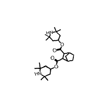 CC1(C)CC(OC(=O)C2C3CCC(C3)C2C(=O)OC2CC(C)(C)NC(C)(C)C2)CC(C)(C)N1